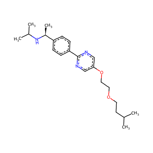 CC(C)CCOCCOc1cnc(-c2ccc([C@H](C)NC(C)C)cc2)nc1